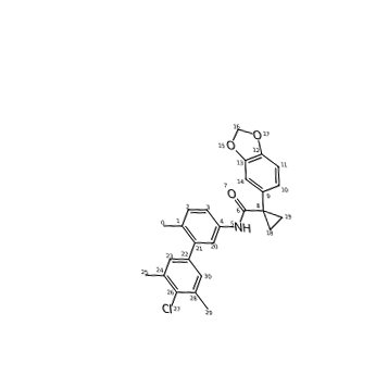 Cc1ccc(NC(=O)C2(c3ccc4c(c3)OCO4)CC2)cc1-c1cc(C)c(Cl)c(C)c1